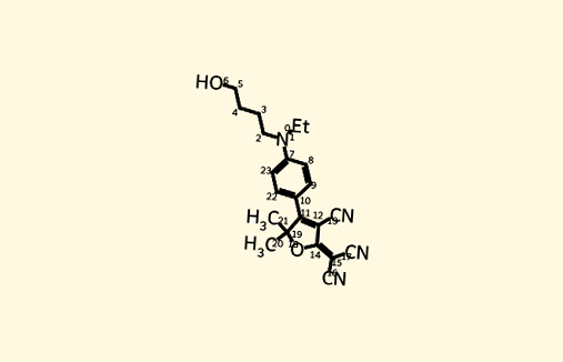 CCN(CCCCO)c1ccc(C2=C(C#N)C(=C(C#N)C#N)OC2(C)C)cc1